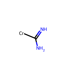 N=[C](N)[Cr]